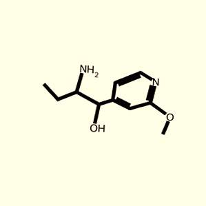 CCC(N)C(O)c1ccnc(OC)c1